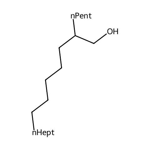 CCCCCCCCCCCCC(CO)CCCCC